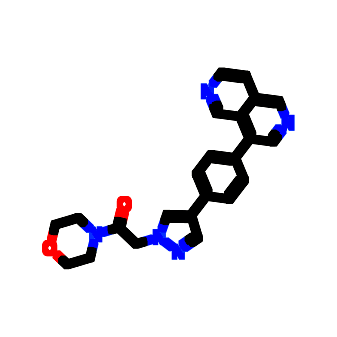 O=C(Cn1cc(-c2ccc(-c3cncc4ccncc34)cc2)cn1)N1CCOCC1